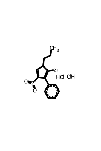 CCCC1C=C(P(=O)=O)C(c2ccccc2)=[C]1[Zr].Cl.Cl